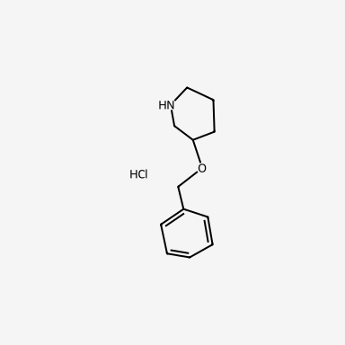 Cl.c1ccc(COC2CCCNC2)cc1